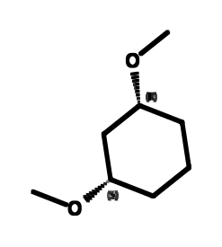 CO[C@@H]1CCC[C@H](OC)C1